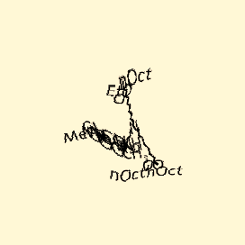 CCCCCCCCC(CC)OC(=O)CCCCCCCN(CCCCCCCC(=O)OC(CCCCCCCC)CCCCCCCC)CCCNP(C)(=O)OC.COP(C)(=O)Cl